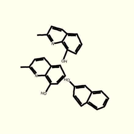 Cc1ccc2cccc(O)c2n1.Cc1ccc2cccc(O)c2n1.Oc1ccc2ccccc2c1